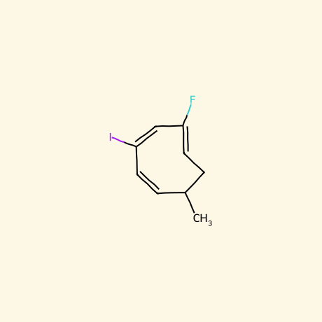 CC1\C=C/C(I)=C\C(F)=C\C1